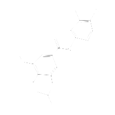 CCOc1cc(C(=O)Nc2ccc(C(C)=O)c(F)c2)cc(OC(CC)CC)c1Cl